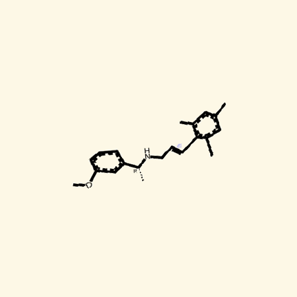 COc1cccc([C@@H](C)NC/C=C/c2c(C)cc(C)cc2C)c1